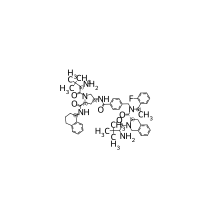 C[C@H](c1ccccc1F)N(Cc1ccc(C(=O)N[C@H]2C[C@@H](C(=O)N[C@@H]3CCCc4ccccc43)N(C(=O)[C@@H](N)C(C)(C)C)C2)cc1)C(=O)[C@@H]1Cc2ccccc2CN1C(=O)C(N)C(C)(C)C